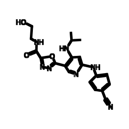 CC(C)Nc1cc(Nc2ccc(C#N)cc2)ncc1-c1nnc(C(=O)NCCO)o1